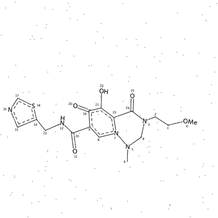 COCCN1CN(C)n2cc(C(=O)NCc3cncs3)c(=O)c(O)c2C1=O